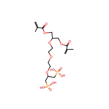 C=C(C)C(=O)OCC(COC(=O)C(=C)C)OCCOCCOC(CP(=O)(O)O)CP(=O)(O)O